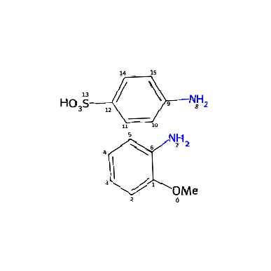 COc1ccccc1N.Nc1ccc(S(=O)(=O)O)cc1